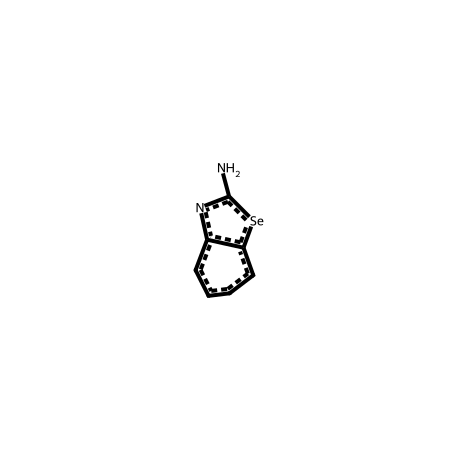 Nc1nc2ccccc2[se]1